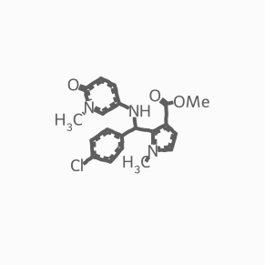 COC(=O)c1ccn(C)c1C(Nc1ccc(=O)n(C)c1)c1ccc(Cl)cc1